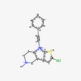 CN1CCc2c(c3cc(Cl)sc3n2C#Cc2ccccc2)C1